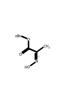 CCCCOC(=O)/C(C)=N\O